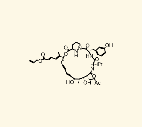 C=CCOC(=O)/C=C/C=C(\C)[C@@H]1C/C=C/C=C/[C@H](O)[C@H](C)[C@@H](O)[C@@H](CCC(C)=O)C(=O)N[C@@H](C(C)C)C(=O)N[C@@H](Cc2cccc(O)c2)C(=O)N2CCCC(N2)C(=O)O1